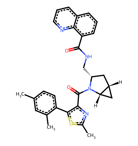 Cc1ccc(-c2sc(C)nc2C(=O)N2[C@H](CNC(=O)c3cccc4cccnc34)C[C@@H]3C[C@@H]32)c(C)c1